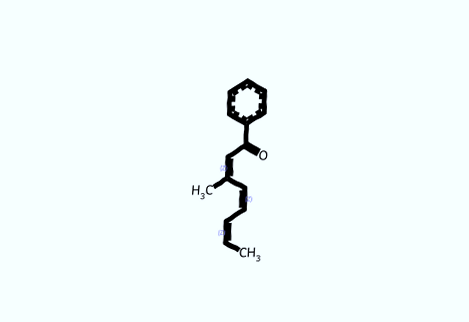 C\C=C/C=C\C(C)=C/C(=O)c1ccccc1